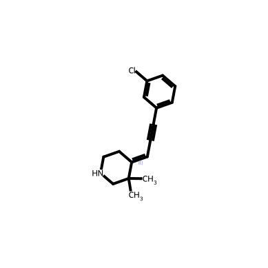 CC1(C)CNCC/C1=C\C#Cc1cccc(Cl)c1